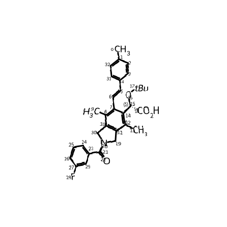 Cc1ccc(C=Cc2c(C)c3c(c(C)c2[C@H](OC(C)(C)C)C(=O)O)CN(C(=O)c2cccc(F)c2)C3)cc1